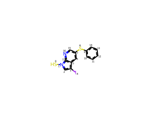 Sn1cc(I)c2cc(Sc3ccccc3)cnc21